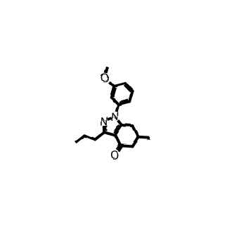 CCCc1nn(-c2cccc(OC)c2)c2c1C(=O)CC(C)C2